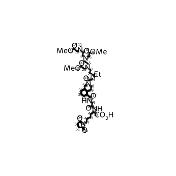 CCN(CCN(CCN(CCN(C)CC(=O)OC)CC(=O)OC)CC(=O)OC)CC(=O)N1CCc2c(cccc2C(=O)NCC(=O)N[C@@H](CCCCN2C(=O)C=CC2=O)C(=O)O)C1